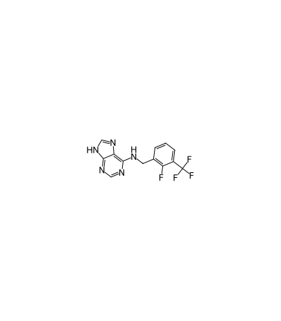 Fc1c(CNc2ncnc3[nH]cnc23)cccc1C(F)(F)F